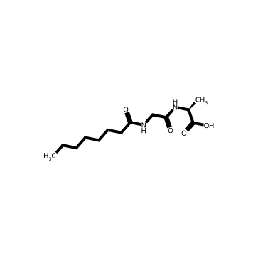 CCCCCCCC(=O)NCC(=O)N[C@@H](C)C(=O)O